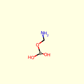 NCOB(O)O